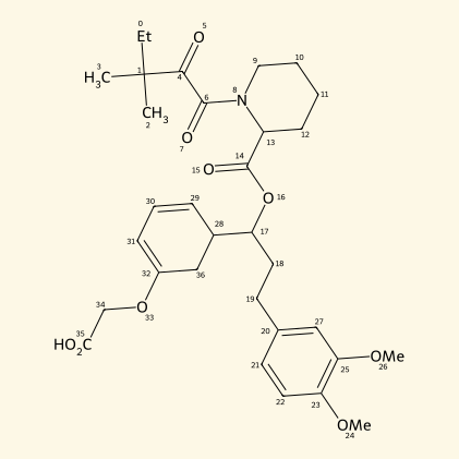 CCC(C)(C)C(=O)C(=O)N1CCCCC1C(=O)OC(CCc1ccc(OC)c(OC)c1)C1C=CC=C(OCC(=O)O)C1